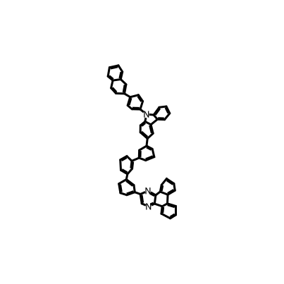 c1cc(-c2cccc(-c3ccc4c(c3)c3ccccc3n4-c3ccc(-c4ccc5ccccc5c4)cc3)c2)cc(-c2cccc(-c3cnc4c5ccccc5c5ccccc5c4n3)c2)c1